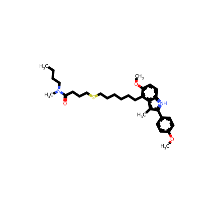 CCCCN(C)C(=O)CCCSCCCCCCc1c(OC)ccc2[nH]c(-c3ccc(OC)cc3)c(C)c12